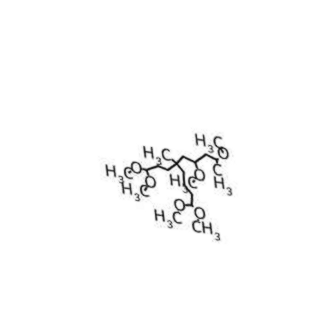 COC(C)CC(CC(C)(CCCC(OC)OC)CCC(OC)OC)OC